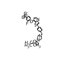 CC(C)(C)OC(=O)N1CCN(Cc2ccc(-c3cc4nccc(Oc5ccc([N+](=O)[O-])cc5F)c4s3)cc2)CC1